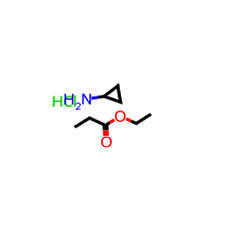 CCOC(=O)CC.Cl.NC1CC1